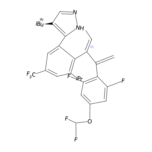 C=C(/C(=C/C)c1c(-c2[nH]ncc2[C@H](C)CC)cc(C(F)(F)F)cc1C(C)C)c1c(F)cc(OC(F)F)cc1F